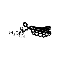 CC(C)COC(=O)CCCC1(c2ccccc2)C2c3cc4c5c6c7c8c9c%10c%11c%12c%13c%14c(c%15c3c5c8c%15c%13%10)C21CC%14CC%12C=C1CC2CC(C=C6C4)C7C=9C2C=%111